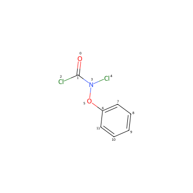 O=C(Cl)N(Cl)Oc1ccccc1